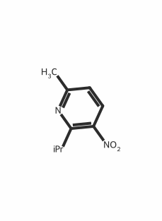 Cc1ccc([N+](=O)[O-])c(C(C)C)n1